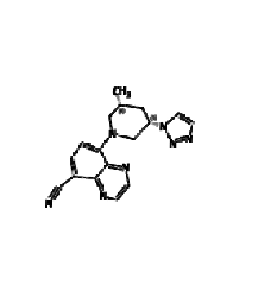 C[C@@H]1C[C@H](n2ccnn2)CN(c2ccc(C#N)c3nccnc23)C1